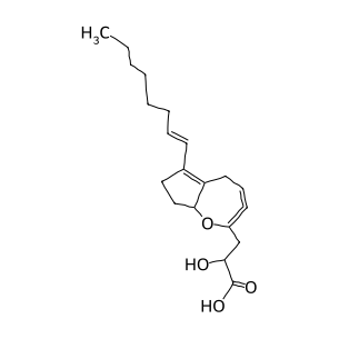 CCCCCCC=CC1=C2CC=C=C(CC(O)C(=O)O)OC2CC1